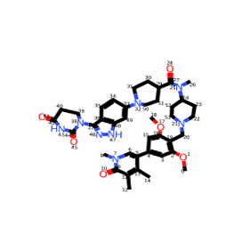 COc1cc(-c2cn(C)c(=O)c(C)c2C)cc(OC)c1CN1CCC(N(C)C(=O)C2CCN(c3ccc4c(N5CCC(=O)NC5=O)n[nH]c4c3)CC2)CC1